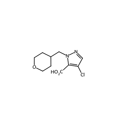 O=C(O)c1c(Cl)cnn1CC1CCOCC1